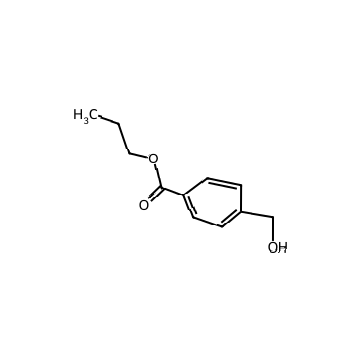 CCCOC(=O)c1ccc(CO)cc1